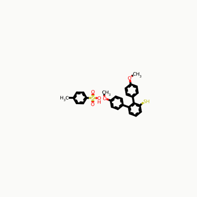 COc1ccc(-c2cccc(S)c2-c2ccc(OC)cc2)cc1.Cc1ccc(S(=O)(=O)O)cc1